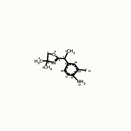 CC(C1=NC(C)(C)CO1)c1ccc(N)c(F)c1